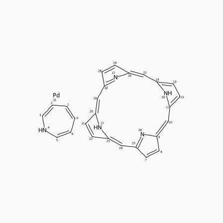 C1=CC=CNC=C1.C1=Cc2cc3ccc(cc4nc(cc5ccc(cc1n2)[nH]5)C=C4)[nH]3.[Pd]